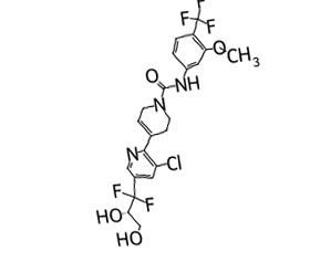 COc1cc(NC(=O)N2CC=C(c3ncc(C(F)(F)[C@@H](O)CO)cc3Cl)CC2)ccc1C(F)(F)F